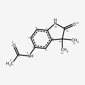 CC(=O)Nc1ccc2c(c1)C(C)(C)C(=O)N2